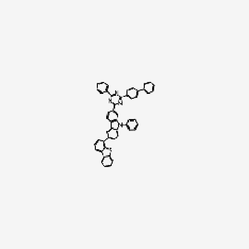 c1ccc(-c2ccc(-c3nc(-c4ccccc4)nc(-c4ccc5c6cc(-c7cccc8c7sc7ccccc78)ccc6n(-c6ccccc6)c5c4)n3)cc2)cc1